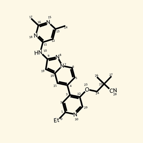 CCc1cc(-c2ccn3nc(Nc4cc(C)nc(C)n4)cc3c2)c(OCC(C)(C)C#N)cn1